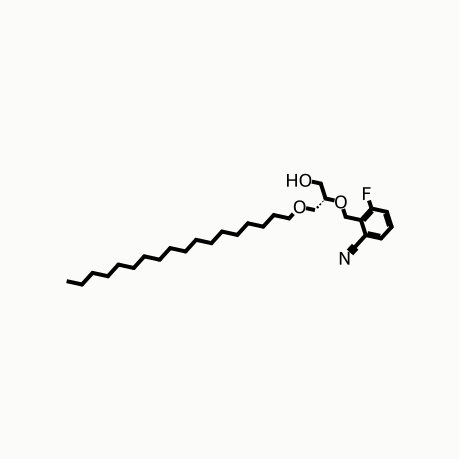 CCCCCCCCCCCCCCCCCCOC[C@H](CO)OCc1c(F)cccc1C#N